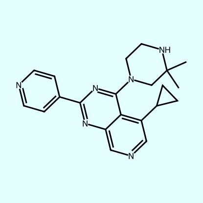 CC1(C)CN(c2nc(-c3ccncc3)nc3cncc(C4CC4)c23)CCN1